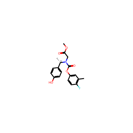 COC(=O)CN(C(=O)Oc1ccc(F)c(C)c1)[C@@H](C)c1ccc(O)cc1